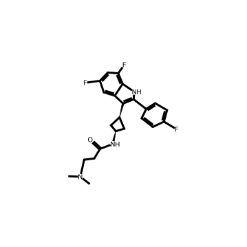 CN(C)CCC(=O)N[C@H]1C[C@@H](c2c(-c3ccc(F)cc3)[nH]c3c(F)cc(F)cc32)C1